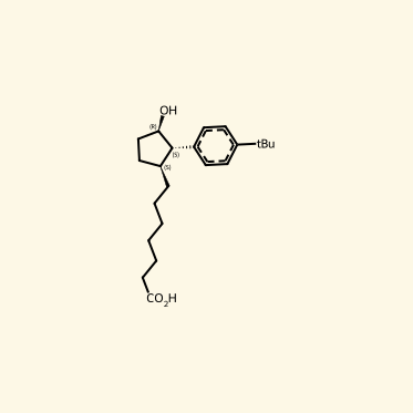 CC(C)(C)c1ccc([C@@H]2[C@@H](CCCCCCC(=O)O)CC[C@H]2O)cc1